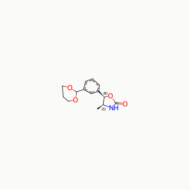 C[C@@H]1NC(=O)O[C@@H]1c1cccc(C2OCCCO2)c1